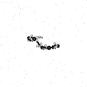 COc1cc2c(cc1OCCCC(=O)Nc1cc(C(=O)Nc3ccc(-c4cc(C(=O)N5CCCC5)n(C)c4)cc3)n(C)c1)N=C[C@@H]1CCCN1C2=O